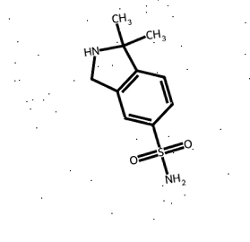 CC1(C)NCc2cc(S(N)(=O)=O)ccc21